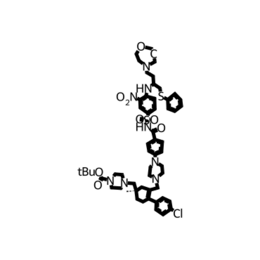 CC(C)(C)OC(=O)N1CCN(C[C@]2(C)CCC(c3ccc(Cl)cc3)=C(CN3CCN(c4ccc(C(=O)NS(=O)(=O)c5ccc(NC(CCN6CCCOCC6)CSc6ccccc6)c([N+](=O)[O-])c5)cc4)CC3)C2)CC1